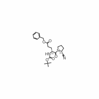 CC(C)(C)OC(=O)N[C@@H](CCC(=O)OCc1ccccc1)C(=O)N1CCC[C@H]1C#N